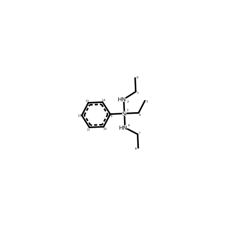 CCN[Si](CC)(NCC)c1ccccc1